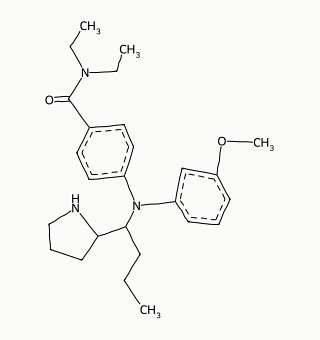 CCCC(C1CCCN1)N(c1ccc(C(=O)N(CC)CC)cc1)c1cccc(OC)c1